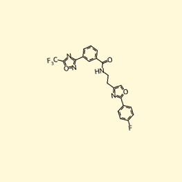 O=C(NCCc1coc(-c2ccc(F)cc2)n1)c1cccc(-c2noc(C(F)(F)F)n2)c1